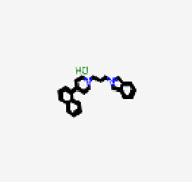 Cl.c1ccc2c(c1)CN(CCCN1CCC(c3cccc4ccccc34)CC1)C2